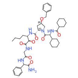 CCCCC(NC(=O)[C@@H]1C[C@@H](OCc2ccccc2)CN1C(=O)C(NC(=O)C1CCCCC1)C1CCCCC1)C(=O)C(=O)NCC(=O)NC(C(N)=O)c1ccccc1